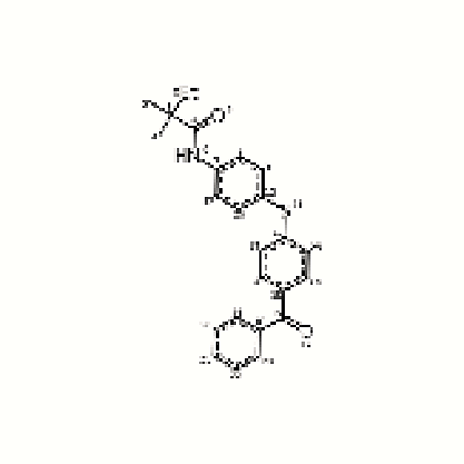 CCC(C)(C)C(=O)Nc1ccc(Sc2ccc(C(=O)c3ccccc3)cc2)cc1